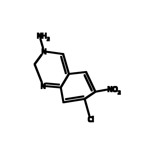 NN1C=c2cc([N+](=O)[O-])c(Cl)cc2=NC1